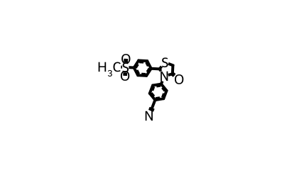 CS(=O)(=O)c1ccc(C2SCC(=O)N2c2ccc(C#N)cc2)cc1